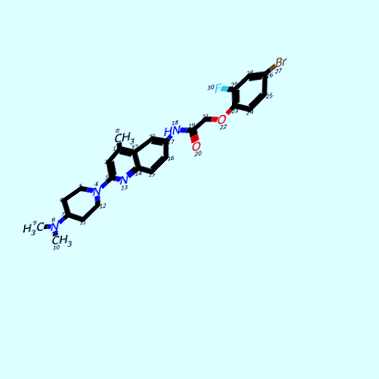 Cc1cc(N2CCC(N(C)C)CC2)nc2ccc(NC(=O)COc3ccc(Br)cc3F)cc12